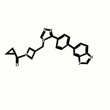 O=C(C1CC1)N1CC(Cn2cnnc2-c2ccc(-c3ccc4ncsc4c3)cc2)C1